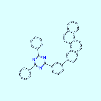 c1ccc(-c2nc(-c3ccccc3)nc(-c3cccc(-c4ccc5ccc6c7ccccc7ccc6c5c4)c3)n2)cc1